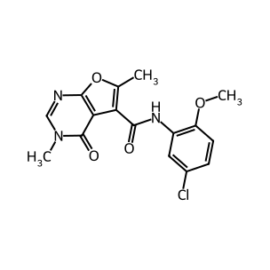 COc1ccc(Cl)cc1NC(=O)c1c(C)oc2ncn(C)c(=O)c12